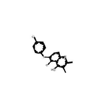 Cc1nc2ccc(Sc3ccc(Cl)cc3)c(Cl)c2c(O)c1C